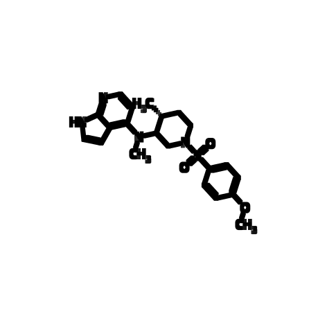 COc1ccc(S(=O)(=O)N2CC[C@@H](C)C(N(C)c3ccnc4[nH]ccc34)C2)cc1